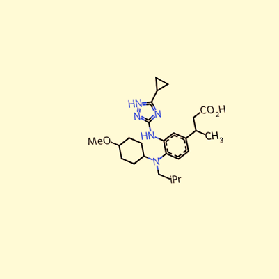 COC1CCC(N(CC(C)C)c2ccc(C(C)CC(=O)O)cc2Nc2n[nH]c(C3CC3)n2)CC1